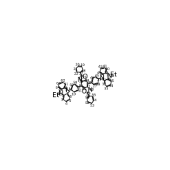 CCN1c2ccccc2N(c2ccc(-c3c4nc(-c5ccccc5)oc4c(-c4ccc(N5c6ccccc6N(CC)c6ccccc65)cc4)c4nc(-c5ccccc5)oc34)cc2)c2ccccc21